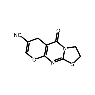 N#CC1=COc2nc3n(c(=O)c2C1)CCS3